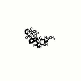 COc1nn(C)cc1Nc1ncc(F)c(-c2c[nH]c3c(NC(=O)[C@@H]4CCCN4S(C)(=O)=O)cccc23)n1